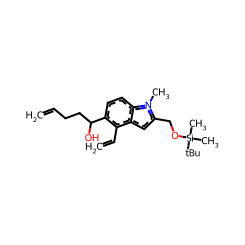 C=CCCC(O)c1ccc2c(cc(CO[Si](C)(C)C(C)(C)C)n2C)c1C=C